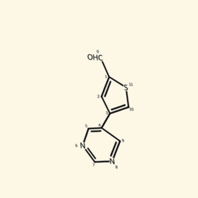 O=Cc1cc(-c2cncnc2)cs1